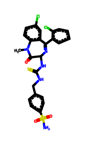 CN1C(=O)C(NC(=S)NCc2ccc(S(N)(=O)=O)cc2)N=C(c2ccccc2Cl)c2cc(Cl)ccc21